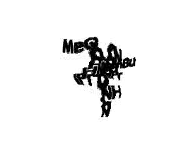 CCCCn1c(=O)c(NC(=O)Nc2c(C(C)C)cc(NCc3ccncc3)cc2C(C)C)c(-c2cccc(OC)c2)c2cccnc21